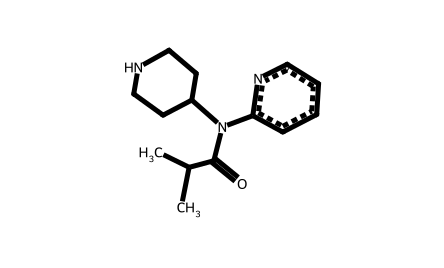 CC(C)C(=O)N(c1ccccn1)C1CCNCC1